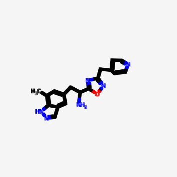 Cc1cc(CC(N)c2nc(Cc3ccncc3)no2)cc2cn[nH]c12